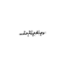 CCOCC(=O)NCC(=O)NCC(=O)NCC(=O)NCCNC=O